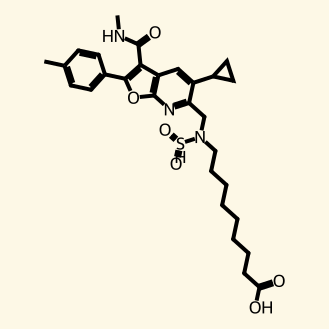 CNC(=O)c1c(-c2ccc(C)cc2)oc2nc(CN(CCCCCCCCC(=O)O)[SH](=O)=O)c(C3CC3)cc12